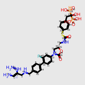 N/C=C(/CNCc1ccc(-c2ccc(N3C[C@H](CNC(=O)Sc4ccc(CC(O)([PH](=O)O)P(=O)(O)O)cc4)OC3=O)cc2F)cc1)NN